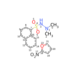 CN(C)NS(=O)(=O)c1cccc2ccccc12.O=[N+]([O-])c1ccco1